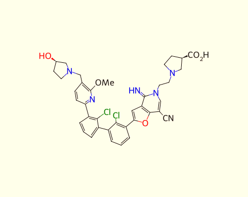 COc1nc(-c2cccc(-c3cccc(-c4cc5c(=N)n(CCN6CC[C@@H](C(=O)O)C6)cc(C#N)c5o4)c3Cl)c2Cl)ccc1CN1CC[C@@H](O)C1